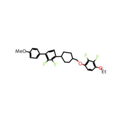 CCOc1ccc(OCC2CCC(c3ccc(-c4ccc(OC)cc4)c(F)c3F)CC2)c(F)c1F